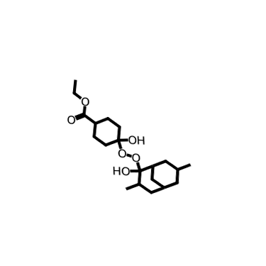 CCOC(=O)C1CCC(O)(OOC2(O)C(C)CC3CC(C)CC2C3)CC1